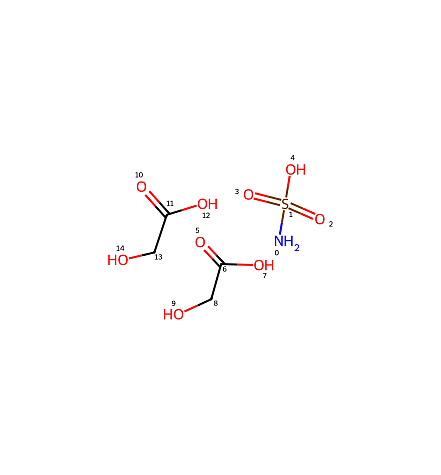 NS(=O)(=O)O.O=C(O)CO.O=C(O)CO